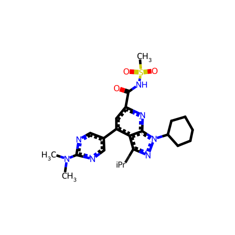 CC(C)c1nn(C2CCCCC2)c2nc(C(=O)NS(C)(=O)=O)cc(-c3cnc(N(C)C)nc3)c12